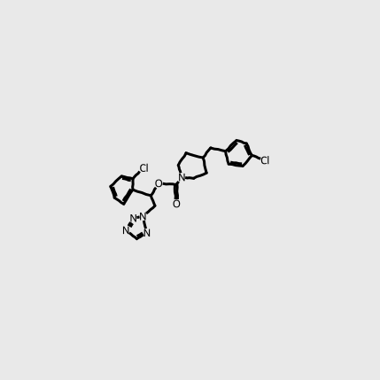 O=C(OC(Cn1ncnn1)c1ccccc1Cl)N1CCC(Cc2ccc(Cl)cc2)CC1